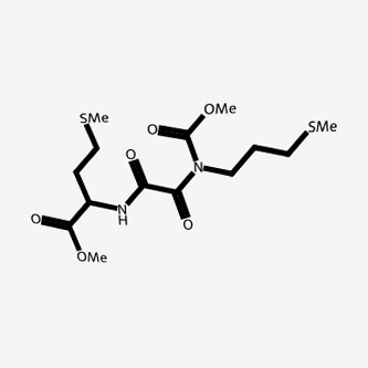 COC(=O)C(CCSC)NC(=O)C(=O)N(CCCSC)C(=O)OC